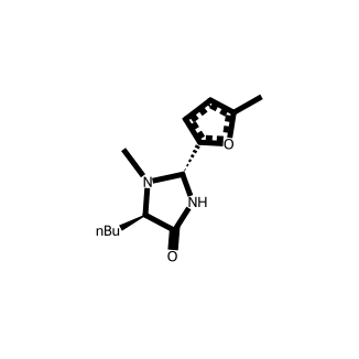 CCCC[C@@H]1C(=O)N[C@@H](c2ccc(C)o2)N1C